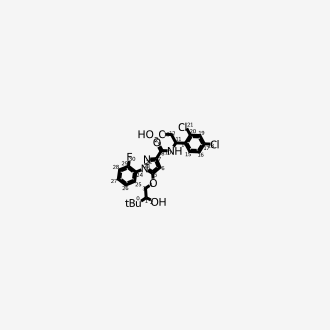 CC(C)(C)C(O)COc1cc(C(=O)NC(CC(=O)O)c2ccc(Cl)cc2Cl)nn1-c1ccccc1F